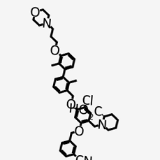 Cc1c(COc2cc(OCc3cccc(C#N)c3)c(CN3CCCC[C@H]3C(=O)O)cc2Cl)cccc1-c1cccc(OCCCN2CCOCC2)c1C